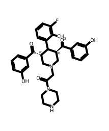 Cc1c(F)cccc1C1[C@@H](C(=O)c2cccc(O)c2)CN(CC(=O)N2CCNCC2)C[C@@H]1C(=O)c1cccc(O)c1